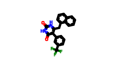 O=c1[nH]c(Cc2cccc3ccccc23)c(-c2cccc(C(F)(F)F)c2)c(=O)[nH]1